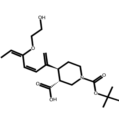 C=C(/C=C\C(=C/C)OCCO)[C@H]1CCN(C(=O)OC(C)(C)C)C[C@@H]1C(=O)O